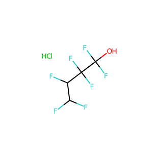 Cl.OC(F)(F)C(F)(F)C(F)C(F)F